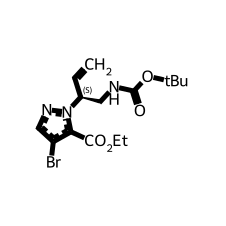 C=C[C@@H](CNC(=O)OC(C)(C)C)n1ncc(Br)c1C(=O)OCC